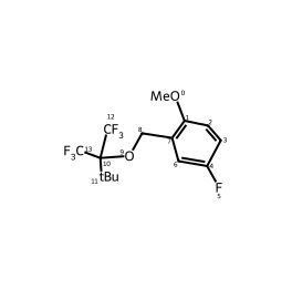 COc1ccc(F)cc1COC(C(C)(C)C)(C(F)(F)F)C(F)(F)F